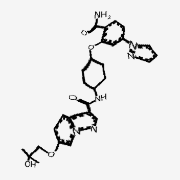 CC(C)(O)COc1ccc2c(C(=O)NC3CCC(Oc4cc(-n5cccn5)ccc4C(N)=O)CC3)cnn2c1